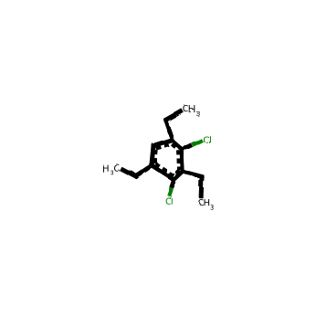 CCc1cc(CC)c(Cl)c(CC)c1Cl